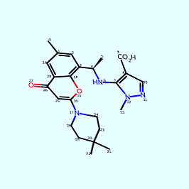 Cc1cc([C@@H](C)Nc2c(C(=O)O)cnn2C)c2oc(N3CCC(C)(C)CC3)cc(=O)c2c1